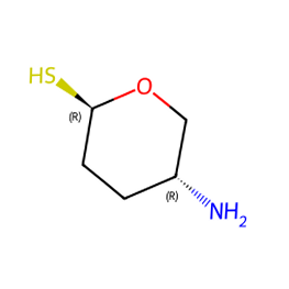 N[C@@H]1CC[C@@H](S)OC1